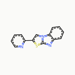 c1ccc(-c2cn3c(nc4ccccc43)s2)nc1